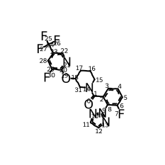 O=C(c1cccc(F)c1-n1nccn1)N1CCCC(Oc2ncc(C(F)(F)F)cc2F)C1